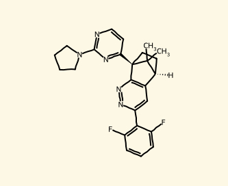 CC1(C)[C@H]2CC[C@@]1(c1ccnc(N3CCCC3)n1)c1nnc(-c3c(F)cccc3F)cc12